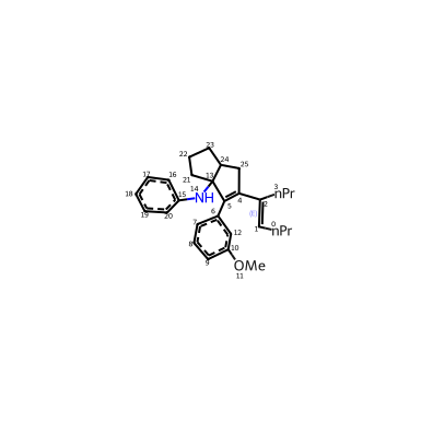 CCC/C=C(\CCC)C1=C(c2cccc(OC)c2)C2(Nc3ccccc3)CCCC2C1